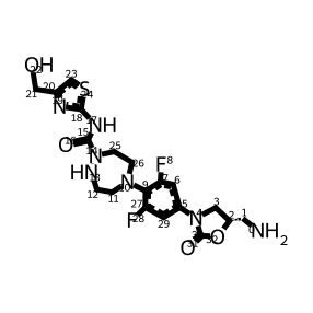 NC[C@H]1CN(c2cc(F)c(N3CCNN(C(=O)Nc4nc(CO)cs4)CC3)c(F)c2)C(=O)O1